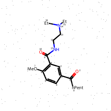 CCCCCC(=O)c1ccc(OC)c(C(=O)NCCN(CC)CC)c1